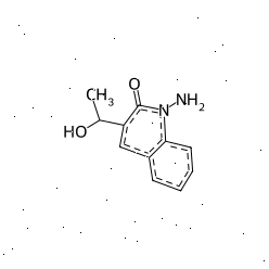 CC(O)c1cc2ccccc2n(N)c1=O